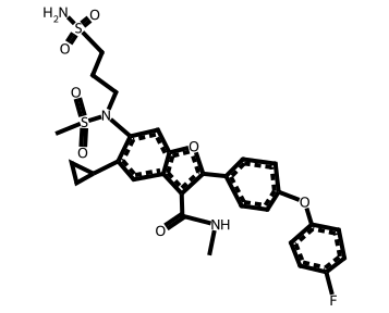 CNC(=O)c1c(-c2ccc(Oc3ccc(F)cc3)cc2)oc2cc(N(CCCS(N)(=O)=O)S(C)(=O)=O)c(C3CC3)cc12